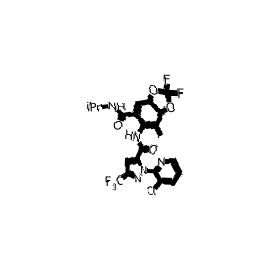 CC1=C(NC(=O)c2cc(C(F)(F)F)nn2-c2ncccc2Cl)C(C(=O)NC(C)C)=CC2OC(F)(F)OC12